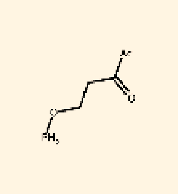 CC(=O)C(=O)CCOP